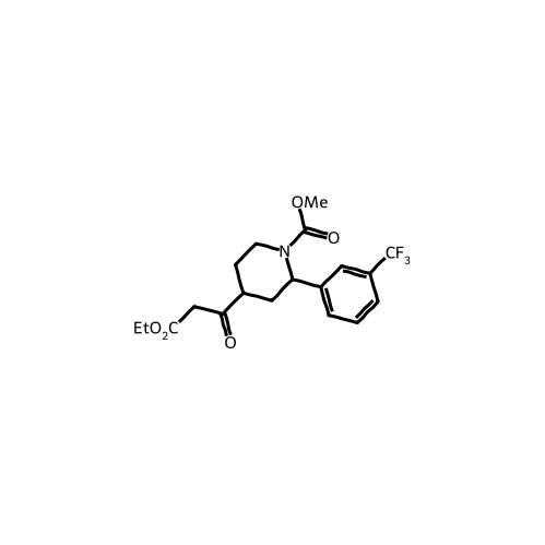 CCOC(=O)CC(=O)C1CCN(C(=O)OC)C(c2cccc(C(F)(F)F)c2)C1